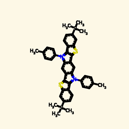 Cc1ccc(-n2c3cc4c5sc6cc([Si](C)(C)C)ccc6c5n(-c5ccc(C)cc5)c4cc3c3sc4cc([Si](C)(C)C)ccc4c32)cc1